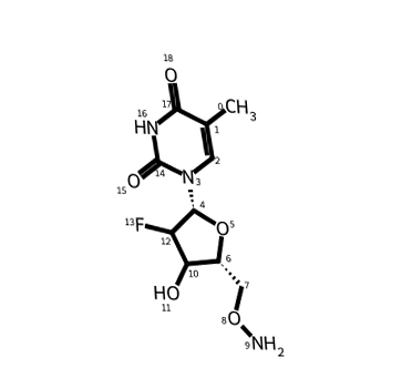 Cc1cn([C@@H]2O[C@H](CON)C(O)C2F)c(=O)[nH]c1=O